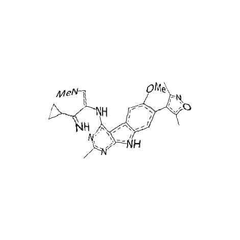 CN/C=C(/Nc1nc(C)nc2[nH]c3cc(-c4c(C)noc4C)c(OC)cc3c12)C(=N)C1CC1